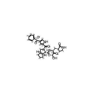 O=C1NCC[C@H]1C[C@H](NC(=O)[C@@H]1[C@H]2CCC[C@H]2CN1C(=O)c1cc(S(=O)(=O)c2ccccc2)c[nH]1)C(=O)CO